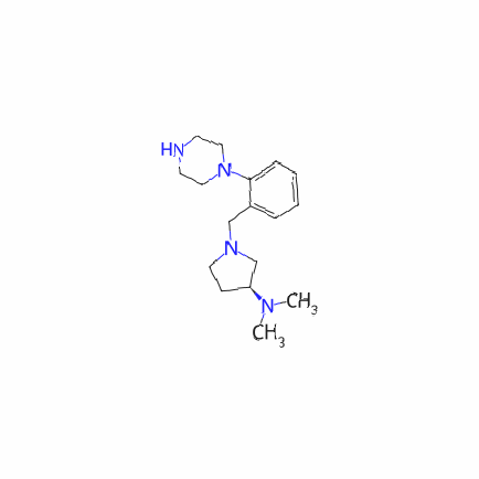 CN(C)[C@H]1CCN(Cc2ccccc2N2CCNCC2)C1